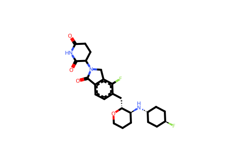 O=C1CCC(N2Cc3c(ccc(C[C@H]4OCCC[C@@H]4N[C@H]4CC[C@H](F)CC4)c3F)C2=O)C(=O)N1